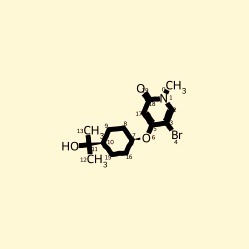 Cn1cc(Br)c(O[C@H]2CC[C@H](C(C)(C)O)CC2)cc1=O